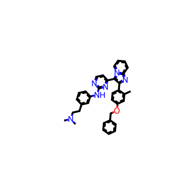 Cc1cc(OCc2ccccc2)ccc1-c1nc2ccccn2c1-c1ccnc(Nc2cccc(CCN(C)C)c2)n1